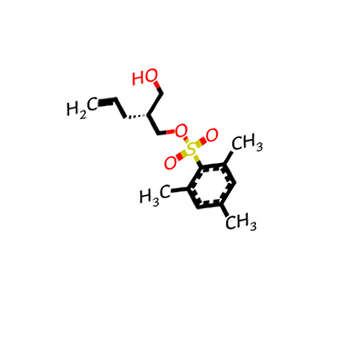 C=CC[C@H](CO)COS(=O)(=O)c1c(C)cc(C)cc1C